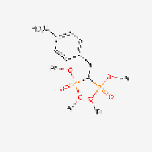 CC(C)OP(=O)(OC(C)C)C(Cc1ccc(C(=O)O)cc1)P(=O)(OC(C)C)OC(C)C